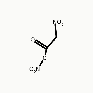 O=C(C[N+](=O)[O-])C[N+](=O)[O-]